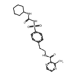 Cc1nccnc1C(=O)NCCc1ccc(S(=O)(=O)NC(=O)NC2CCCCC2)cc1